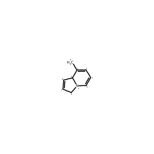 CC1=CC=CN2CC=CC12